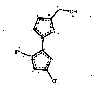 CC(C)n1cc(C(F)(F)F)nc1-c1ccc(CO)s1